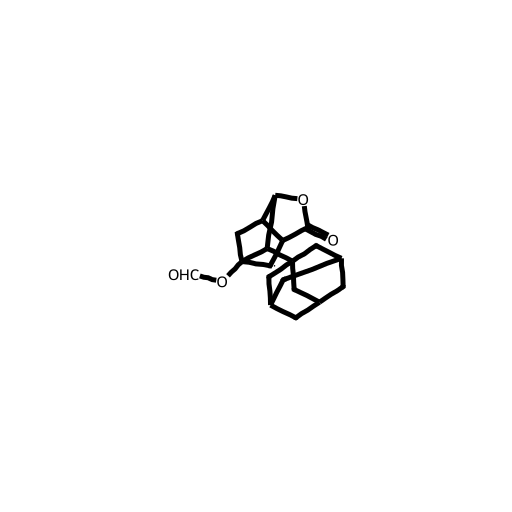 O=COC12[CH]C3C(=O)OC(C3C1)C2C12CC3CC(CC(C3)C1)C2